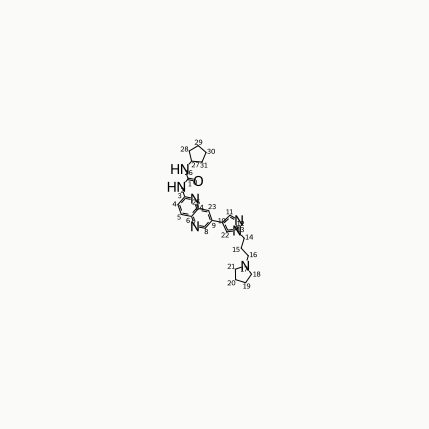 O=C(Nc1ccc2ncc(-c3cnn(CCCN4CCCC4)c3)cc2n1)NC1CCCC1